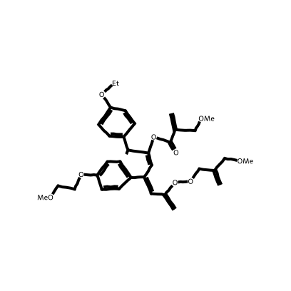 C=C(COC)COOC(=C)/C=C(\C=C(\OC(=O)C(=C)COC)C(C)c1ccc(OCC)cc1)c1ccc(OCCOC)cc1